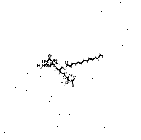 CCCCC=CCCCCCCCC(=O)OCC(CCOC(=O)[C@@H](N)C(C)C)Cn1cnc2c(=O)[nH]c(N)nc21